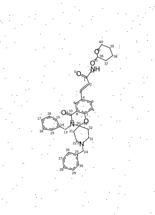 O=C(/C=C/c1ccc2c(c1)C(=O)N(Cc1ccccc1)C1(CCN(Cc3ccccc3)CC1)O2)NOC1CCCCO1